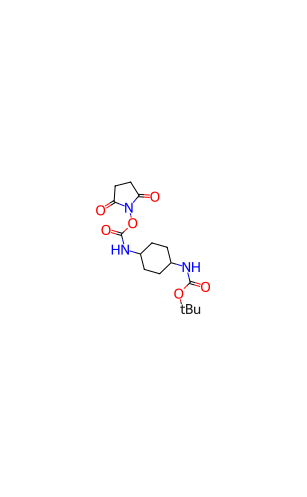 CC(C)(C)OC(=O)NC1CCC(NC(=O)ON2C(=O)CCC2=O)CC1